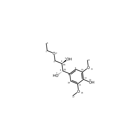 CCOC[C@@H](O)[C@@H](O)c1cc(OC)c(O)c(OC)c1